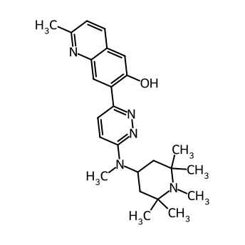 Cc1ccc2cc(O)c(-c3ccc(N(C)C4CC(C)(C)N(C)C(C)(C)C4)nn3)cc2n1